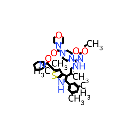 CCOC(=O)/N=C(/NC[C@@H](C)c1c(-c2cc(C)cc(C)c2)[nH]c2sc(C(C)(C)C(=O)N3C4CCC3CC4)cc12)N1CCN(C(=O)N2CCOCC2)CC1